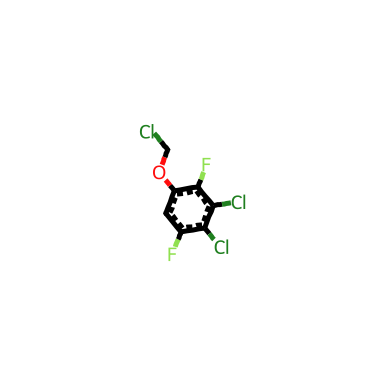 Fc1cc(OCCl)c(F)c(Cl)c1Cl